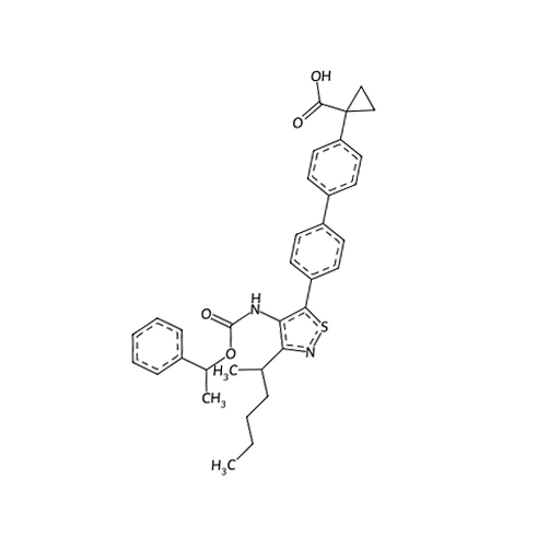 CCCCC(C)c1nsc(-c2ccc(-c3ccc(C4(C(=O)O)CC4)cc3)cc2)c1NC(=O)OC(C)c1ccccc1